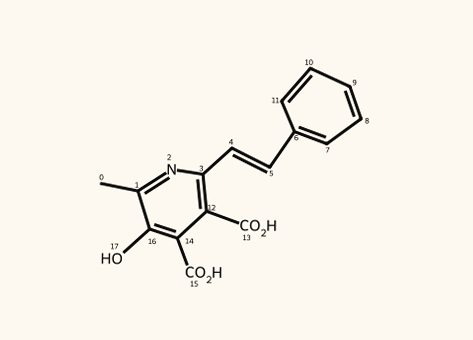 Cc1nc(C=Cc2ccccc2)c(C(=O)O)c(C(=O)O)c1O